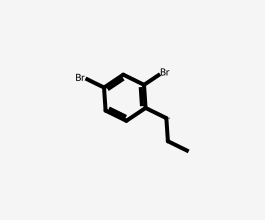 CC[CH]c1ccc(Br)cc1Br